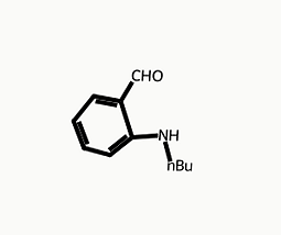 CCCCNc1ccccc1C=O